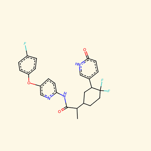 CC(C(=O)Nc1ccc(Oc2ccc(F)cc2)cn1)C1CCC(F)(F)C(c2ccc(=O)[nH]c2)C1